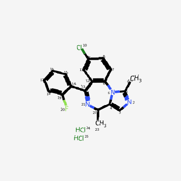 Cc1ncc2n1-c1ccc(Cl)cc1C(c1ccccc1F)=NC2C.Cl.Cl